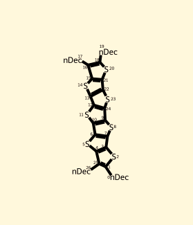 CCCCCCCCCCc1sc2c(sc3c2sc2c3sc3c4sc5c(CCCCCCCCCC)c(CCCCCCCCCC)sc5c4sc32)c1CCCCCCCCCC